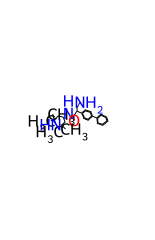 CC1(C)CC(NC(=O)C(CN)c2ccc(-c3ccccc3)cc2)CC(C)(C)N1